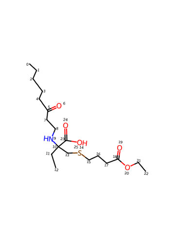 CCCCCC(=O)CCNC(CC)(CSCCCC(=O)OCC)C(=O)O